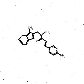 CC1=C2CC=CC=C2C=C1CN(C)C(=O)/C=C/c1ccc(N)nc1